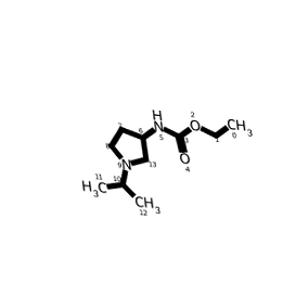 CCOC(=O)NC1CCN(C(C)C)C1